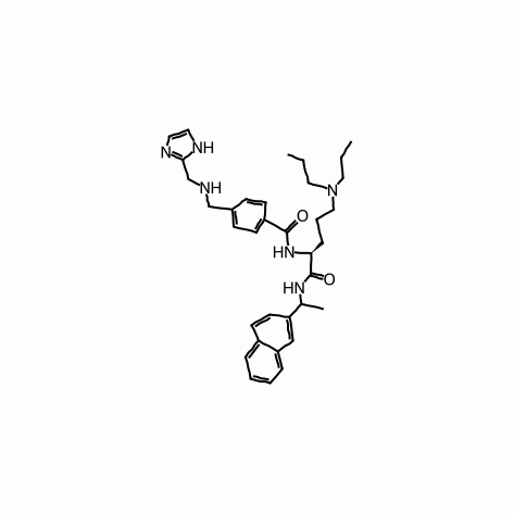 CCCN(CCC)CCC[C@H](NC(=O)c1ccc(CNCc2ncc[nH]2)cc1)C(=O)NC(C)c1ccc2ccccc2c1